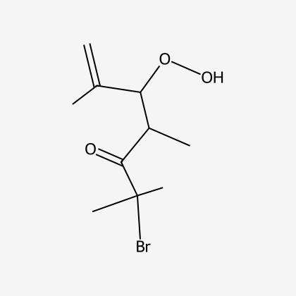 C=C(C)C(OO)C(C)C(=O)C(C)(C)Br